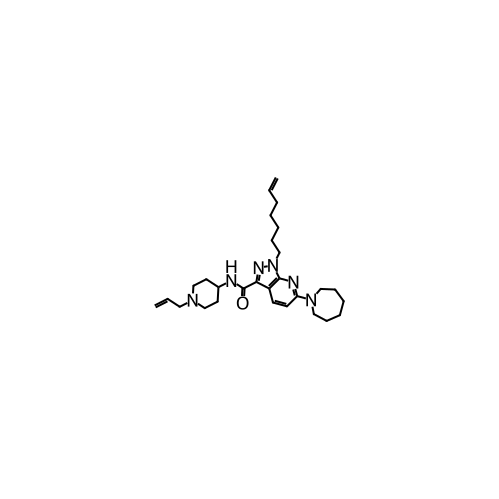 C=CCCCCCn1nc(C(=O)NC2CCN(CC=C)CC2)c2ccc(N3CCCCCC3)nc21